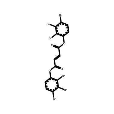 O=C(/C=C/C(=O)Oc1ccc(Br)c(Br)c1Br)Oc1ccc(Br)c(Br)c1Br